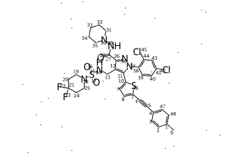 Cc1ccc(C#Cc2ccc(-c3c(CNS(=O)(=O)N4CCC(F)(F)CC4)c(C(=O)NN4CCCCC4)nn3-c3ccc(Cl)cc3Cl)s2)cc1